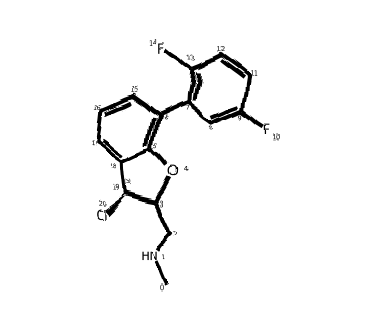 CNCC1Oc2c(-c3cc(F)ccc3F)cccc2[C@@H]1Cl